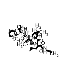 C=CCNC(=O)C(=O)C(CC1CC1)NC(=O)[C@@H]1[C@@H]2[C@H](CN1C(=O)[C@@H](NC(=O)N[C@H](CN1CCCC[S+]1[O-])C(C)(C)C)C(C)(C)C)C2(C)C